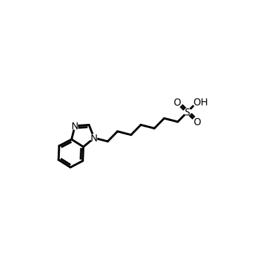 O=S(=O)(O)CCCCCCCn1cnc2ccccc21